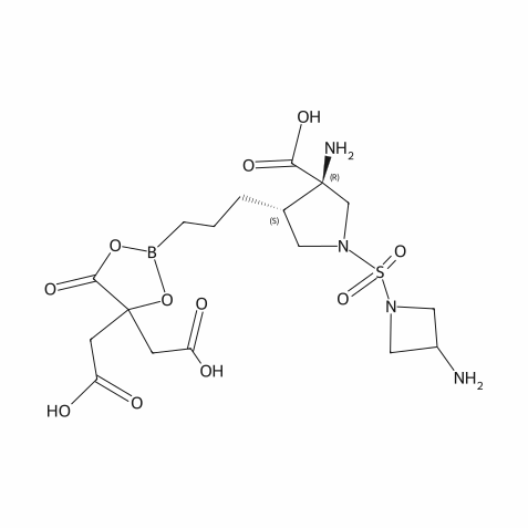 NC1CN(S(=O)(=O)N2C[C@H](CCCB3OC(=O)C(CC(=O)O)(CC(=O)O)O3)[C@](N)(C(=O)O)C2)C1